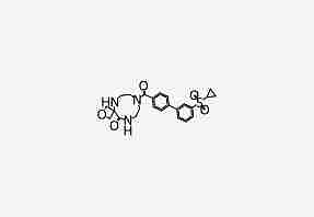 O=C(c1ccc(-c2cccc(S(=O)(=O)C3CC3)c2)cc1)N1CCNC(=O)C2(COC2)NCC1